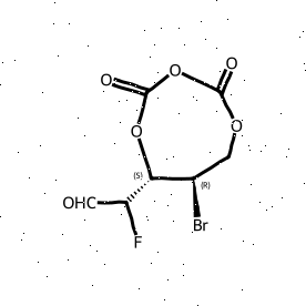 O=CC(F)[C@@H]1OC(=O)OC(=O)OC[C@H]1Br